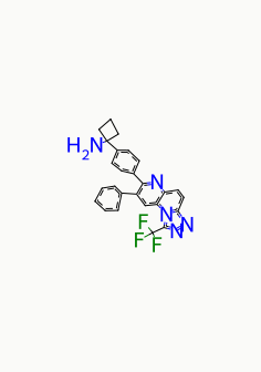 NC1(c2ccc(-c3nc4ccc5nnc(C(F)(F)F)n5c4cc3-c3ccccc3)cc2)CCC1